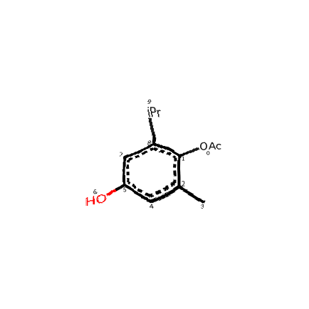 CC(=O)Oc1c(C)cc(O)cc1C(C)C